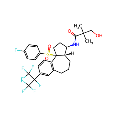 CC(C)(CO)C(=O)N[C@@H]1CC[C@@]2(S(=O)(=O)c3ccc(F)cc3)c3ccc(C(F)(C(F)(F)F)C(F)(F)F)cc3CCC[C@@H]12